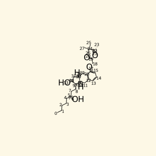 CCCCC[C@@H](O)CC[C@@H]1[C@H]2Cc3cccc(OCC(=O)O[C@@H](C)C(C)(C)C)c3C[C@H]2C[C@H]1O